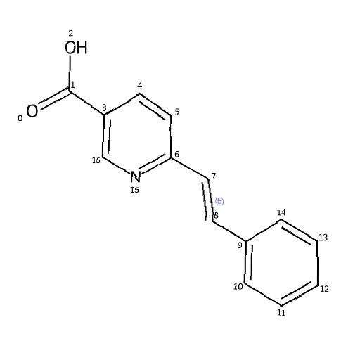 O=C(O)c1ccc(/C=C/c2ccccc2)nc1